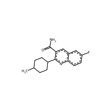 CC1CCC(c2nc3ccc(F)cc3cc2C(N)=O)CC1